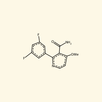 COc1ccnc(-c2cc(F)cc(F)c2)c1C(N)=O